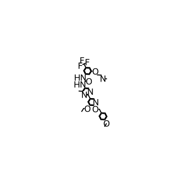 CCOc1cc(-c2ncc(NC(=O)Nc3cc(OCCN(C)C)cc(C(F)(F)F)c3)c(C)n2)cnc1OCc1ccc(OC)cc1